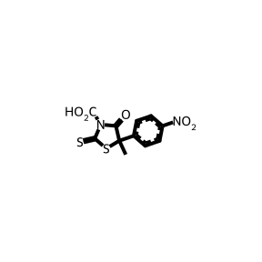 CC1(c2ccc([N+](=O)[O-])cc2)SC(=S)N(C(=O)O)C1=O